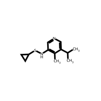 Cc1c(NSC2CC2)cncc1C(C)C